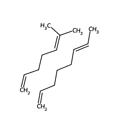 C=CCCC/C=C/C.C=CCCC=C(C)C